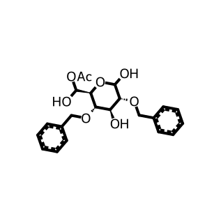 CC(=O)OC(O)[C@H]1OC(O)[C@H](OCc2ccccc2)[C@@H](O)[C@@H]1OCc1ccccc1